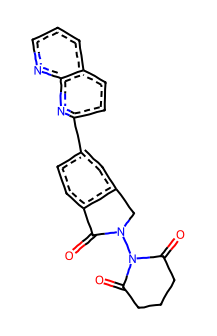 O=C1c2ccc(-c3ccc4cccnc4n3)cc2CN1N1C(=O)CCCC1=O